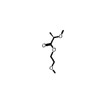 COCCOC(=O)[C@@H](C)OC